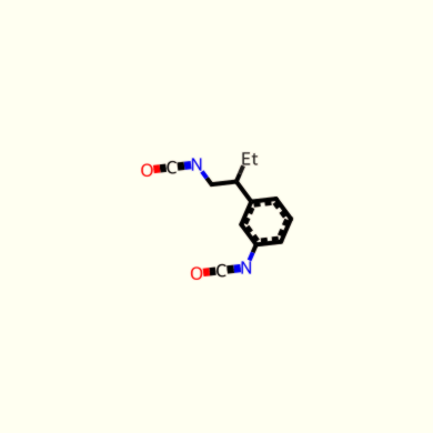 CCC(CN=C=O)c1cccc(N=C=O)c1